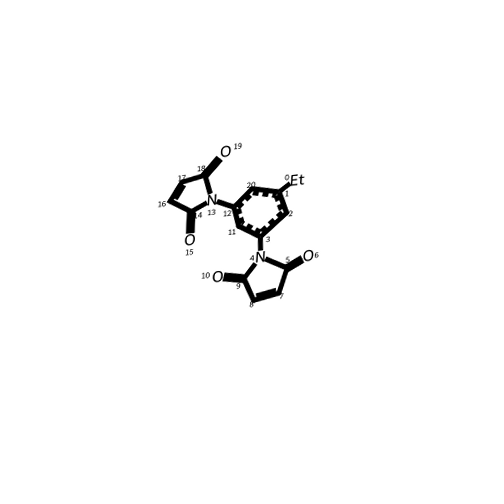 CCc1cc(N2C(=O)C=CC2=O)cc(N2C(=O)C=CC2=O)c1